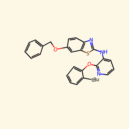 CC(C)(C)c1ccccc1Oc1ncccc1Nc1nc2ccc(OCc3ccccc3)cc2s1